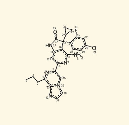 CCCc1nc(-c2nc(N)c3c(n2)NC(=O)C3(c2ccc(Cl)cc2F)C2CC2)cn2ccnc12